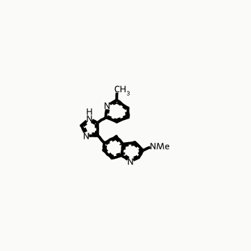 CNc1cnc2ccc(-c3nc[nH]c3-c3cccc(C)n3)cc2c1